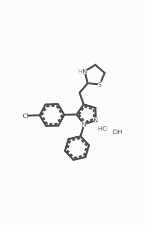 Cl.Cl.Clc1ccc(-c2c(CC3NCCS3)cnn2-c2ccccc2)cc1